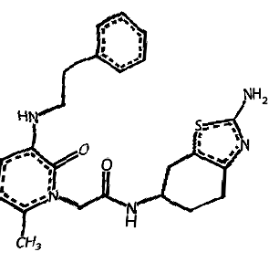 Cc1ccc(NCCc2ccccc2)c(=O)n1CC(=O)NC1CCc2nc(N)sc2C1